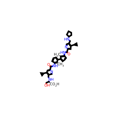 Cc1c(NC(=O)c2cc(C3CC3)c(CNC3CCCC3)cn2)cccc1-c1cccc(NC(=O)c2cc(C3CC3)c(CN[C@H](CO)C(=O)O)cn2)c1C